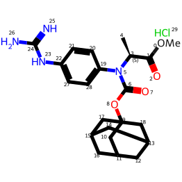 COC(=O)[C@H](C)N(C(=O)OC12CC3CC(CC(C3)C1)C2)c1ccc(NC(=N)N)cc1.Cl